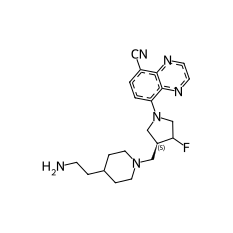 N#Cc1ccc(N2CC(F)[C@@H](CN3CCC(CCN)CC3)C2)c2nccnc12